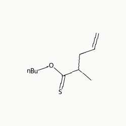 C=CCC(C)C(=S)OCCCC